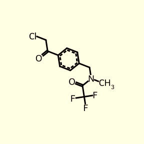 CN(Cc1ccc(C(=O)CCl)cc1)C(=O)C(F)(F)F